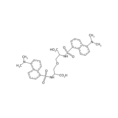 CN(C)c1cccc2c(S(=O)(=O)NC(COCC(NS(=O)(=O)c3cccc4c(N(C)C)cccc34)C(=O)O)C(=O)O)cccc12